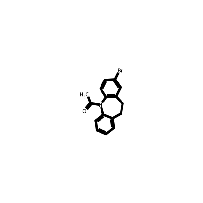 CC(=O)N1c2ccccc2CCc2cc(Br)ccc21